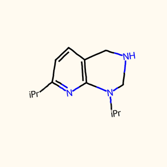 CC(C)c1ccc2c(n1)N(C(C)C)CNC2